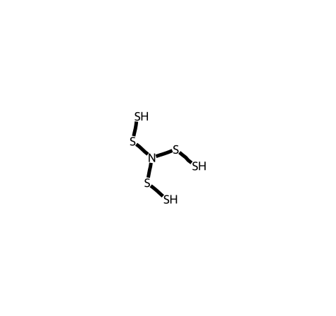 SSN(SS)SS